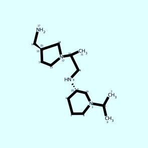 CC(C)N1CCC[C@H](NCC(C)N2CC[C@@H](CN)C2)C1